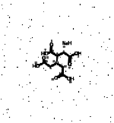 O=C(O)CC(C(=O)O)N(CC(=O)O)CC(=O)O.[NaH]